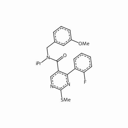 COc1cccc(CN(C(=O)c2cnc(SC)nc2-c2ccccc2F)C(C)C)c1